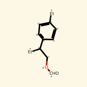 CCc1ccc(C(CC)COC=O)cc1